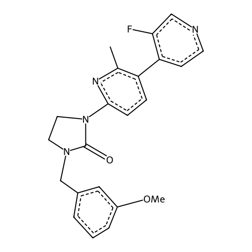 COc1cccc(CN2CCN(c3ccc(-c4ccncc4F)c(C)n3)C2=O)c1